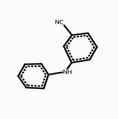 N#Cc1cccc(Nc2cc[c]cc2)c1